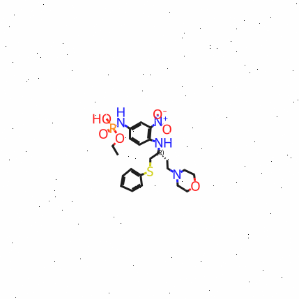 CCOP(=O)(O)Nc1ccc(N[C@H](CCN2CCOCC2)CSc2ccccc2)c([N+](=O)[O-])c1